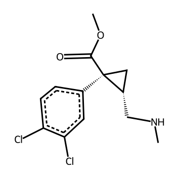 CNC[C@H]1C[C@@]1(C(=O)OC)c1ccc(Cl)c(Cl)c1